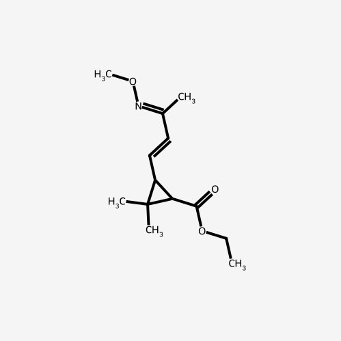 CCOC(=O)C1C(C=CC(C)=NOC)C1(C)C